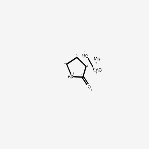 O=C1CCCN1.O=CO.[Mn]